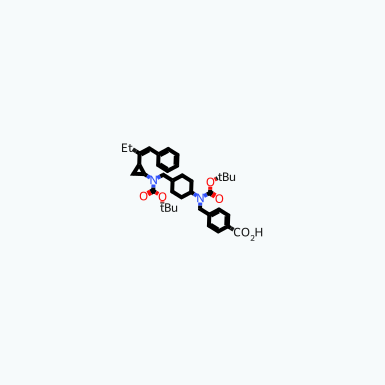 CCC(=Cc1ccccc1)C1CC1N(CC1CCC(N(Cc2ccc(C(=O)O)cc2)C(=O)OC(C)(C)C)CC1)C(=O)OC(C)(C)C